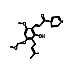 COCOc1cc(OC)c(C=CC(=O)c2ccncc2)c(O)c1CC=C(C)C